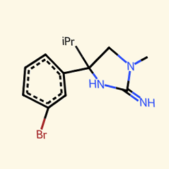 CC(C)C1(c2cccc(Br)c2)CN(C)C(=N)N1